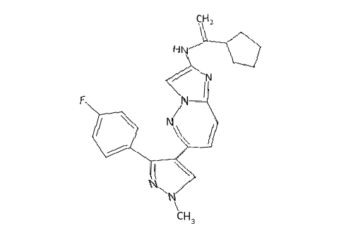 C=C(Nc1cn2nc(-c3cn(C)nc3-c3ccc(F)cc3)ccc2n1)C1CCCC1